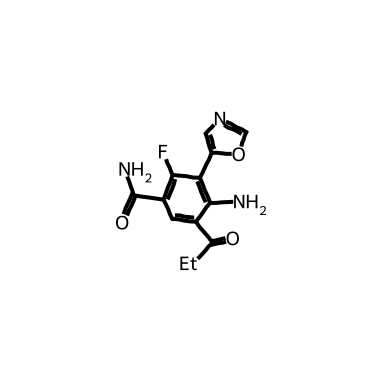 CCC(=O)c1cc(C(N)=O)c(F)c(-c2cnco2)c1N